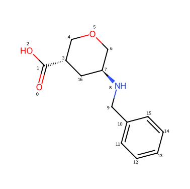 O=C(O)[C@@H]1COC[C@@H](NCc2ccccc2)C1